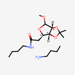 CCCCN.CCCCNC(=O)C[C@H]1OC(OC)[C@@H]2OC(C)(C)O[C@H]12